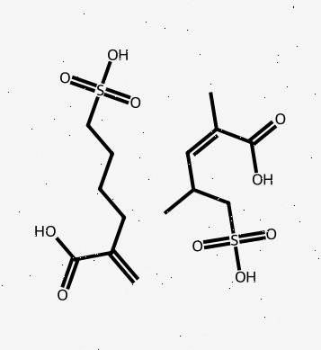 C=C(CCCCS(=O)(=O)O)C(=O)O.CC(=CC(C)CS(=O)(=O)O)C(=O)O